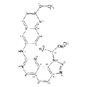 COc1ccc2cc(Nc3ncc4ccc5nnn(C(C)C)c5c4n3)ccc2n1.Cl